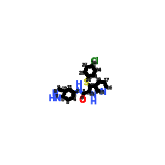 O=C(Nc1ccc2[nH]ncc2c1)c1[nH]c2ncccc2c1Sc1ccc(Cl)cc1